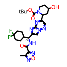 Cc1nonc1C(=O)N[C@H](c1cn2ncc(C3CC(O)CCN3C(=O)OC(C)(C)C)nc2n1)C1CCC(F)(F)CC1